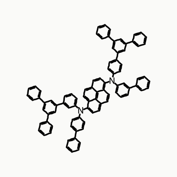 c1ccc(-c2ccc(N(c3cccc(-c4cc(-c5ccccc5)cc(-c5ccccc5)c4)c3)c3ccc4ccc5c(N(c6ccc(-c7cc(-c8ccccc8)cc(-c8ccccc8)c7)cc6)c6cccc(-c7ccccc7)c6)ccc6ccc3c4c65)cc2)cc1